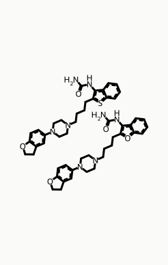 NC(=O)Nc1c(CCCCN2CCN(c3ccc4c(c3)CCO4)CC2)oc2ccccc12.NC(=O)Nc1c(CCCCN2CCN(c3ccc4c(c3)CCO4)CC2)sc2ccccc12